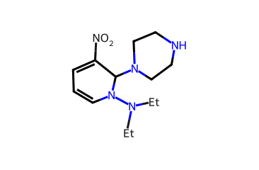 CCN(CC)N1C=CC=C([N+](=O)[O-])C1N1CCNCC1